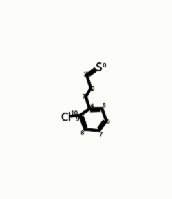 S=[C]CCc1ccccc1Cl